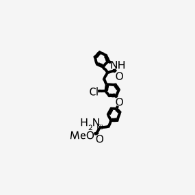 COC(=O)[C@H](N)Cc1ccc(Oc2ccc(CC3C(=O)Nc4ccccc43)c(Cl)c2)cc1